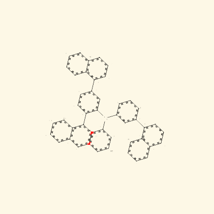 c1ccc(N(c2cccc(-c3cccc4ccccc34)c2)c2cc(-c3cccc4ccccc34)ccc2-c2cccc3ccccc23)cc1